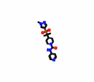 Cn1cc(S(=O)(=O)C(C)(C)C2CCN(C(=O)Nc3ccncc3)CC2)cn1